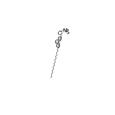 CCCCCCCCCCCCCCCCCCOCC(COCc1cccc(CN2C=CSC2)c1)OC